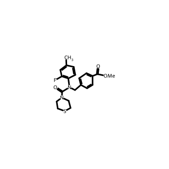 COC(=O)c1ccc(CN(C(=O)N2CCSCC2)c2ccc(C)cc2F)cc1